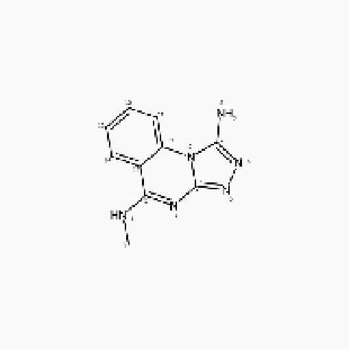 CNc1nc2nnc(N)n2c2ccccc12